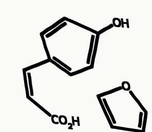 O=C(O)/C=C\c1ccc(O)cc1.c1ccoc1